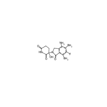 Bc1c(N)c2c(c(B)c1F)C(=O)N(C1(O)CCC(=O)NC1=O)C2